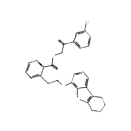 Nc1cccc(C(=O)CNC(=O)c2ccccc2CCOc2cccc3c4c(oc23)CCCC4)c1